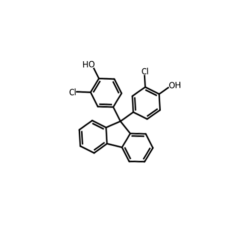 Oc1ccc(C2(c3ccc(O)c(Cl)c3)c3ccccc3-c3ccccc32)cc1Cl